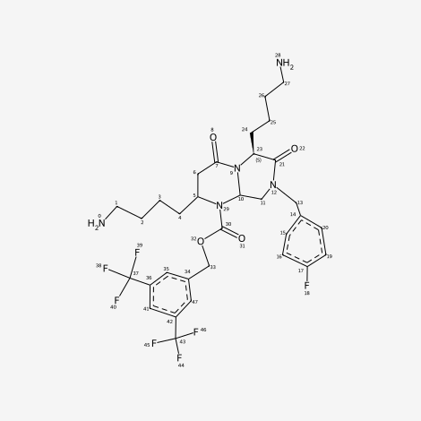 NCCCCC1CC(=O)N2C(CN(Cc3ccc(F)cc3)C(=O)[C@@H]2CCCCN)N1C(=O)OCc1cc(C(F)(F)F)cc(C(F)(F)F)c1